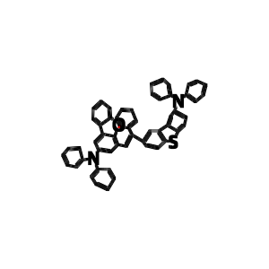 C(=C(/c1ccccc1)c1ccc2sc3ccc(N(c4ccccc4)c4ccccc4)cc3c2c1)/c1cc(N(c2ccccc2)c2ccccc2)cc2c1oc1ccccc12